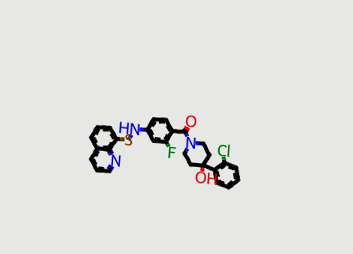 O=C(c1ccc(NSc2cccc3cccnc23)cc1F)N1CCC(O)(c2ccccc2Cl)CC1